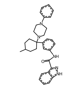 CC1CCC(c2cccc(NC(=O)c3n[nH]c4ccccc34)c2)(N2CCN(c3ccccc3)CC2)CC1